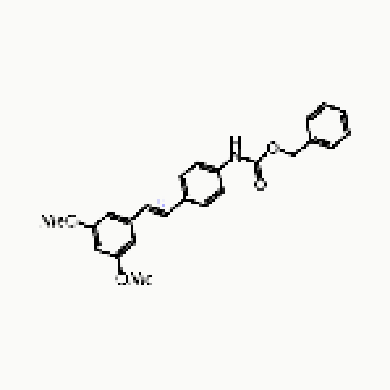 COc1cc(/C=C/c2ccc(NC(=O)OCc3ccccc3)cc2)cc(OC)c1